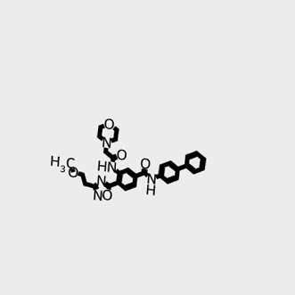 COCCc1noc(-c2ccc(C(=O)Nc3ccc(-c4ccccc4)cc3)cc2NC(=O)CN2CCOCC2)n1